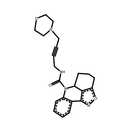 O=C(NCC#CCN1CCOCC1)N1c2ccccc2-c2noc3c2C1CCC3